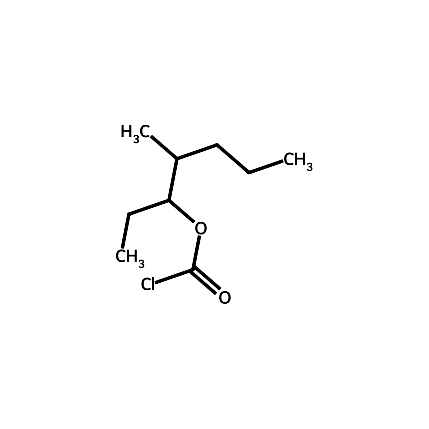 CCCC(C)C(CC)OC(=O)Cl